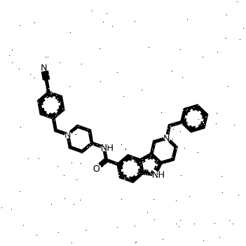 N#Cc1ccc(CN2CCC(NC(=O)c3ccc4[nH]c5c(c4c3)CN(Cc3ccccc3)CC5)CC2)cc1